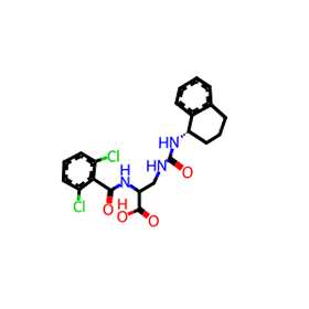 O=C(NCC(NC(=O)c1c(Cl)cccc1Cl)C(=O)O)N[C@H]1CCCc2ccccc21